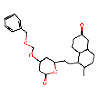 CC1CCC2CC(=O)C[CH]C2C1CCC1CC(OCOCc2ccccc2)CC(=O)O1